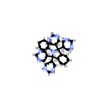 c1ccc(N2C(c3cncnc3)(c3cncnc3)c3ccccc3C2(c2cncnc2)c2cncnc2)cc1